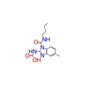 CCCCNC(=O)n1c(NC(=O)O)nc2cc(C)ccc21